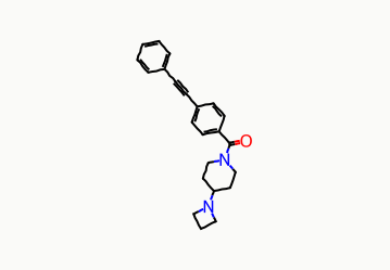 O=C(c1ccc(C#Cc2ccccc2)cc1)N1CCC(N2CCC2)CC1